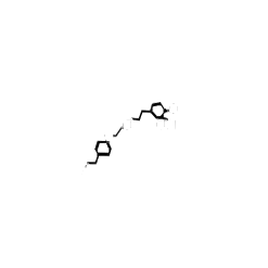 CC(=O)CCc1ccc(OCCOCCCC2=CC(C)(O)C(=O)C=C2)cc1